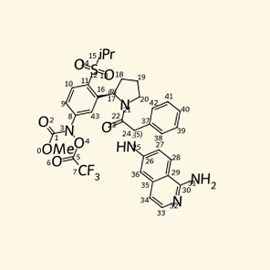 COC(=O)N(OC(=O)C(F)(F)F)c1ccc(S(=O)(=O)C(C)C)c([C@H]2CCCN2C(=O)[C@@H](Nc2ccc3c(N)nccc3c2)c2ccccc2)c1